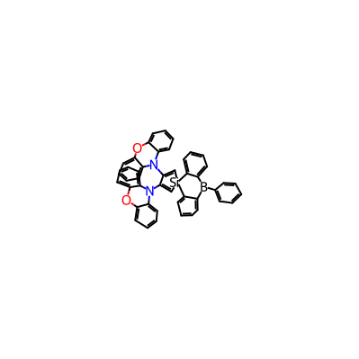 C1=C(N2c3ccccc3Oc3ccccc32)C(N2c3ccccc3Oc3ccccc32)=C[Si]12c1ccccc1B(c1ccccc1)c1ccccc12